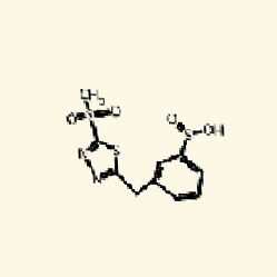 CS(=O)(=O)c1nnc(Cc2cccc(S(=O)O)c2)s1